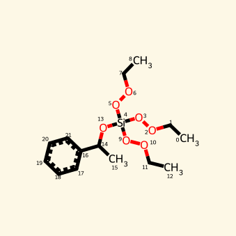 CCOO[Si](OOCC)(OOCC)OC(C)c1ccccc1